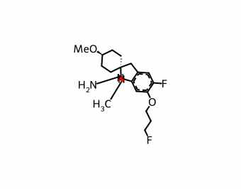 CO[C@H]1CC[C@]2(CC1)Cc1cc(F)c(OCCCF)cc1C21N=C(C)C(N)=N1